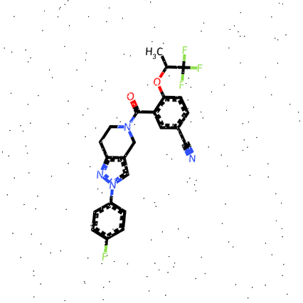 CC(Oc1ccc(C#N)cc1C(=O)N1CCc2nn(-c3ccc(F)cc3)cc2C1)C(F)(F)F